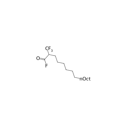 CCCCCCCCCCCCCCC(C(=O)F)C(F)(F)F